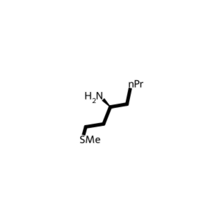 CCCC[C@H](N)CCSC